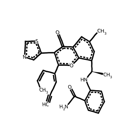 C#C/C=C(\C=C/C)c1oc2c([C@@H](C)Nc3ccccc3C(N)=O)cc(C)cc2c(=O)c1-c1cncs1